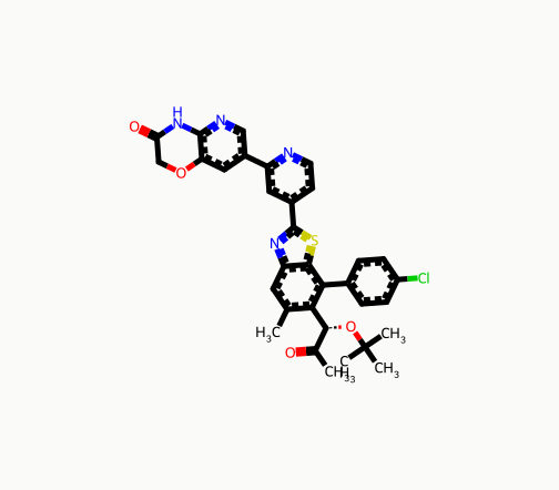 CC(=O)[C@@H](OC(C)(C)C)c1c(C)cc2nc(-c3ccnc(-c4cnc5c(c4)OCC(=O)N5)c3)sc2c1-c1ccc(Cl)cc1